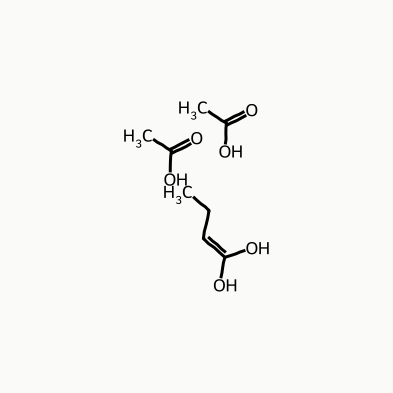 CC(=O)O.CC(=O)O.CCC=C(O)O